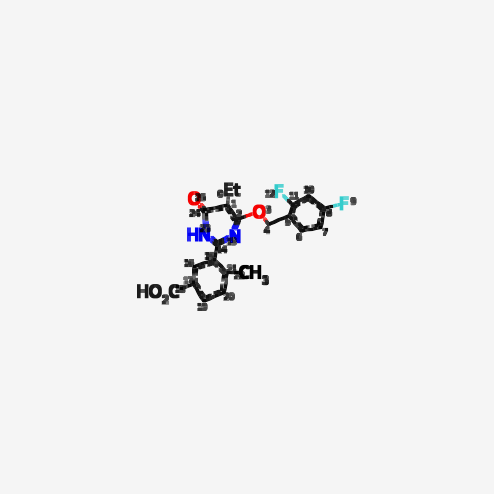 CCc1c(OCc2ccc(F)cc2F)nc(-c2cc(C(=O)O)ccc2C)[nH]c1=O